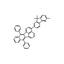 Cc1ccc2c(n1)-c1ccc(-c3ccc4c5c(cccc35)-c3c-4c(-c4ccccc4)c4ccccc4c3-c3ccccc3)cc1C2(C)C